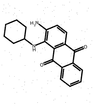 Nc1ccc2c(c1NC1CCCCC1)C(=O)c1ccccc1C2=O